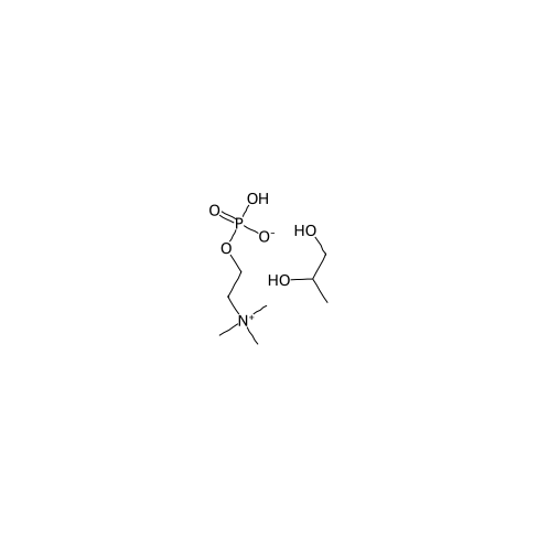 CC(O)CO.C[N+](C)(C)CCOP(=O)([O-])O